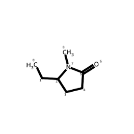 CCC1CCC(=O)N1C